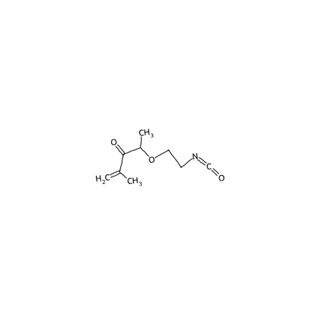 C=C(C)C(=O)C(C)OCCN=C=O